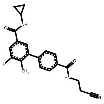 Cc1c(F)cc(C(=O)NC2CC2)cc1-c1ccc(C(=O)NCCC#N)cc1